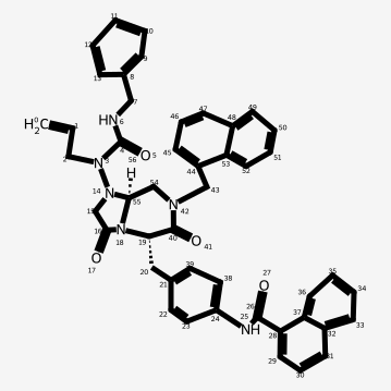 C=CCN(C(=O)NCc1ccccc1)N1CC(=O)N2[C@@H](Cc3ccc(NC(=O)c4cccc5ccccc45)cc3)C(=O)N(Cc3cccc4ccccc34)C[C@@H]21